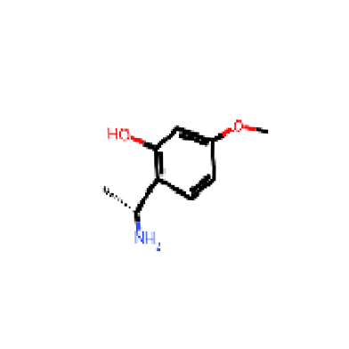 COc1ccc([C@@H](C)N)c(O)c1